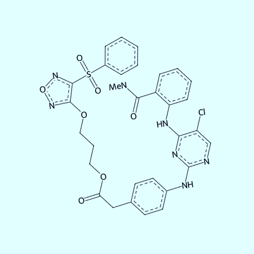 CNC(=O)c1ccccc1Nc1nc(Nc2ccc(CC(=O)OCCCOc3nonc3S(=O)(=O)c3ccccc3)cc2)ncc1Cl